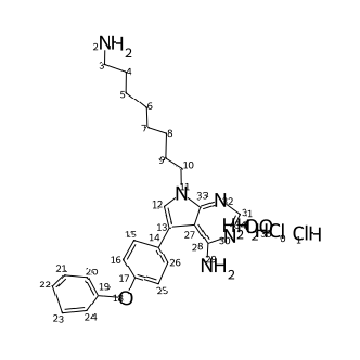 Cl.Cl.NCCCCCCCCn1cc(-c2ccc(Oc3ccccc3)cc2)c2c(N)ncnc21.O.O